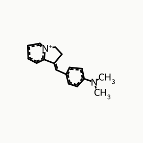 CN(C)c1ccc(C=C2CC[n+]3ccccc32)cc1